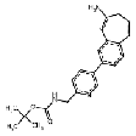 CC(C)(C)OC(=O)NCc1ccc(-c2ccc3c(c2)N=C(N)CC=C3)cn1